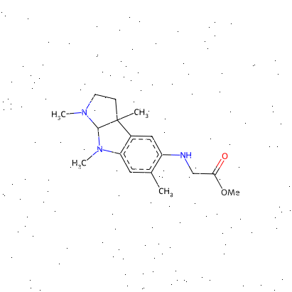 COC(=O)CNc1cc2c(cc1C)N(C)C1N(C)CCC21C